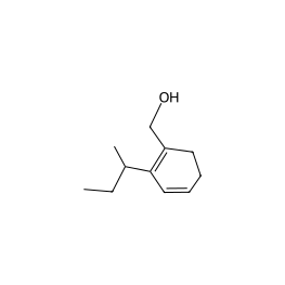 CCC(C)C1=C(CO)CCC=C1